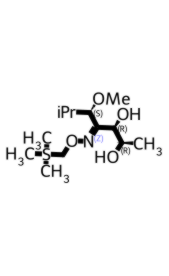 CO[C@H](/C(=N\OCS(C)(C)C)[C@@H](O)[C@@H](C)O)C(C)C